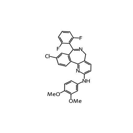 COc1ccc(Nc2ccc3c(n2)-c2ccc(Cl)cc2C(c2c(F)cccc2F)=NC3)cc1OC